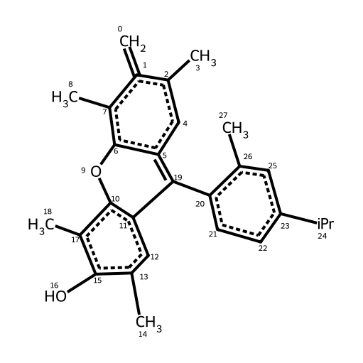 C=c1c(C)cc2c(c1C)Oc1c(cc(C)c(O)c1C)C=2c1ccc(C(C)C)cc1C